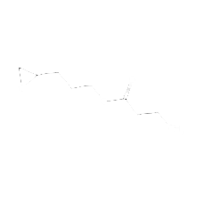 CCCC(=O)OCCCC1CO1